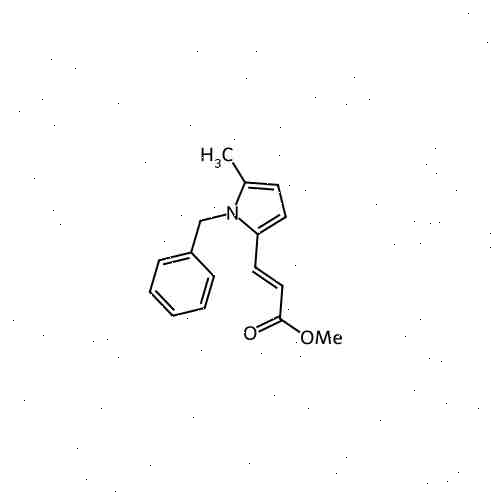 COC(=O)/C=C/c1ccc(C)n1Cc1ccccc1